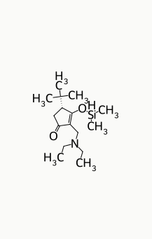 CCN(CC)CC1=C(O[SiH](C)C)[C@@H](C(C)(C)C)CC1=O